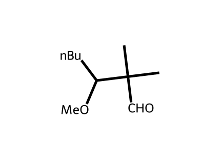 CCCCC(OC)C(C)(C)C=O